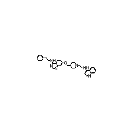 c1ccc(CCNc2ncnc3cc(OCC4CCN(CCNc5ccnc6ccccc56)CC4)ccc23)cc1